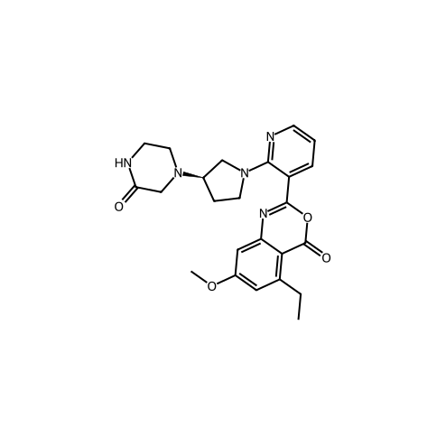 CCc1cc(OC)cc2nc(-c3cccnc3N3CC[C@@H](N4CCNC(=O)C4)C3)oc(=O)c12